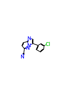 N#Cc1ccc2ncc(-c3cccc(Cl)c3)n2n1